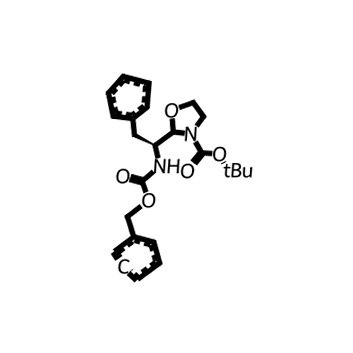 CC(C)(C)OC(=O)N1CCOC1[C@H](Cc1ccccc1)NC(=O)OCc1ccccc1